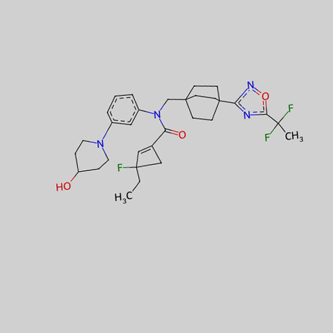 CCC1(F)C=C(C(=O)N(CC23CCC(c4noc(C(C)(F)F)n4)(CC2)CC3)c2cccc(N3CCC(O)CC3)c2)C1